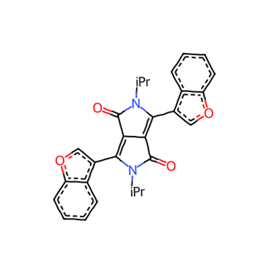 CC(C)N1C(=O)C2=C(c3coc4ccccc34)N(C(C)C)C(=O)C2=C1c1coc2ccccc12